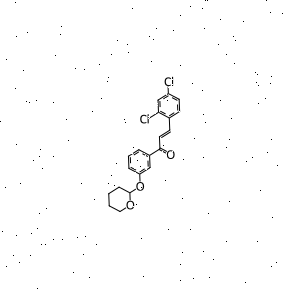 O=C(C=Cc1ccc(Cl)cc1Cl)c1cccc(OC2CCCCO2)c1